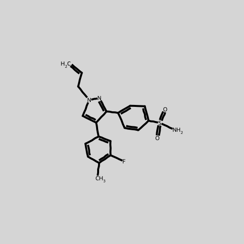 C=CCn1cc(-c2ccc(C)c(F)c2)c(-c2ccc(S(N)(=O)=O)cc2)n1